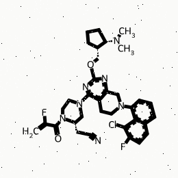 C=C(F)C(=O)N1CCN(c2nc(OC[C@@H]3CCC[C@@H]3N(C)C)nc3c2CCN(c2cccc4ccc(F)c(Cl)c24)C3)C[C@@H]1CC#N